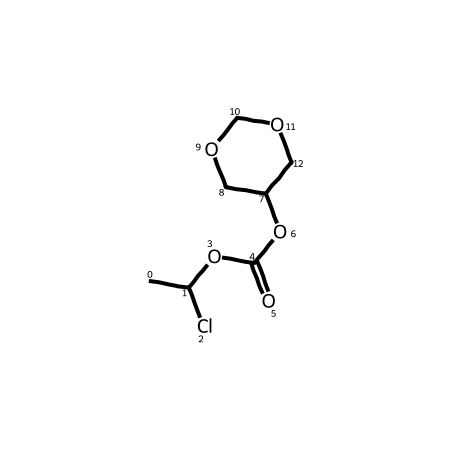 CC(Cl)OC(=O)OC1COCOC1